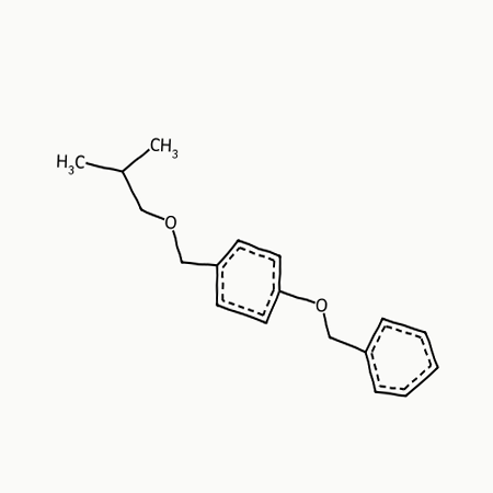 CC(C)COCc1ccc(OCc2ccccc2)cc1